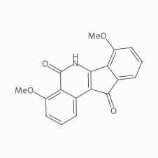 COc1cccc2c1-c1[nH]c(=O)c3c(OC)cccc3c1C2=O